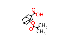 C=C(C)C(=O)OC12CC3CC(C1)CC(C(=O)O)(C3)C2